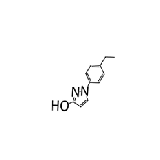 CCc1ccc(-n2ccc(O)n2)cc1